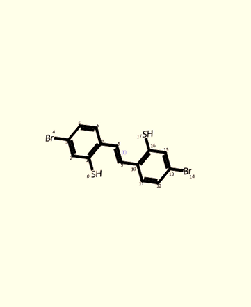 Sc1cc(Br)ccc1/C=C/c1ccc(Br)cc1S